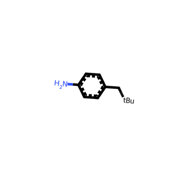 CC(C)(C)Cc1ccc(N)cc1